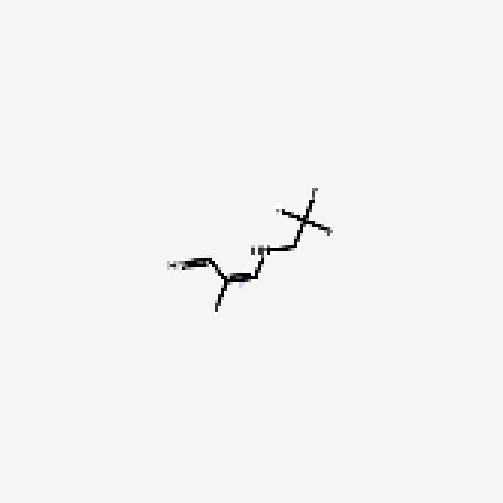 N=C/C(I)=C\NCC(F)(F)F